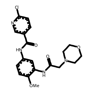 COc1ccc(NC(=O)c2ccc(Cl)nc2)cc1NC(=O)CN1CCOCC1